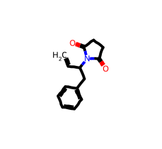 C=CC(Cc1ccccc1)N1C(=O)CCC1=O